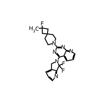 CC1(F)CC2(CCN(c3nc(N4Cc5cccnc5C4(F)F)c4cccnc4n3)CC2)C1